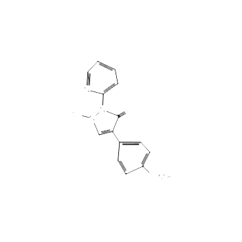 COc1ccc(-c2cn(C(C)=O)n(-c3ccccn3)c2=O)cc1